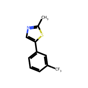 Cc1ncc(-c2cccc(C(F)(F)F)c2)s1